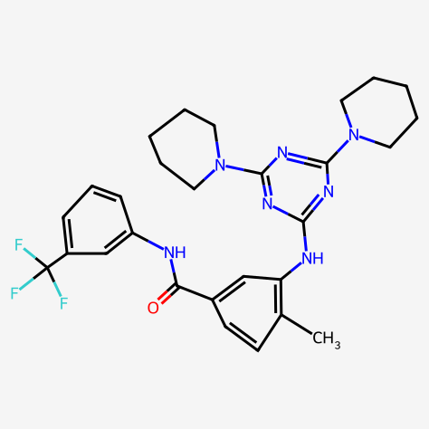 Cc1ccc(C(=O)Nc2cccc(C(F)(F)F)c2)cc1Nc1nc(N2CCCCC2)nc(N2CCCCC2)n1